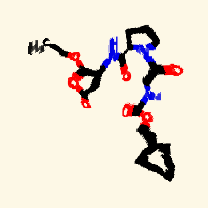 CCO[C@@H]1OC(=O)C=C1NC(=O)[C@@H]1CCCN1C(=O)CNC(=O)OCc1ccccc1